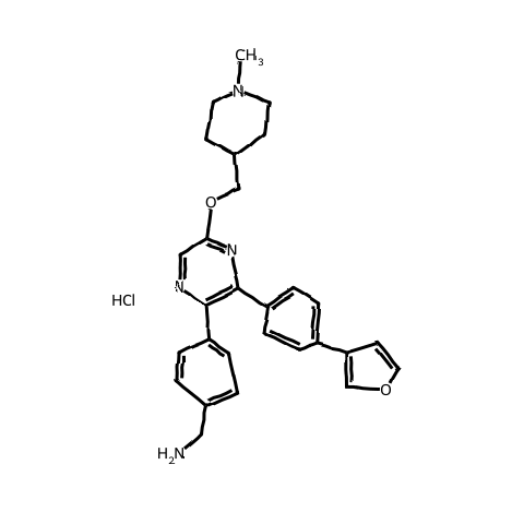 CN1CCC(COc2cnc(-c3ccc(CN)cc3)c(-c3ccc(-c4ccoc4)cc3)n2)CC1.Cl